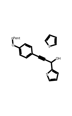 CCCCCOc1ccc(C#CC(O)c2cc[c]s2)cc1.[c]1cccs1